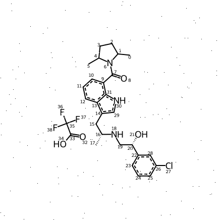 CC1CCC(C)N1C(=O)c1cccc2c(C[C@@H](C)NC[C@H](O)c3cccc(Cl)c3)c[nH]c12.O=C(O)C(F)(F)F